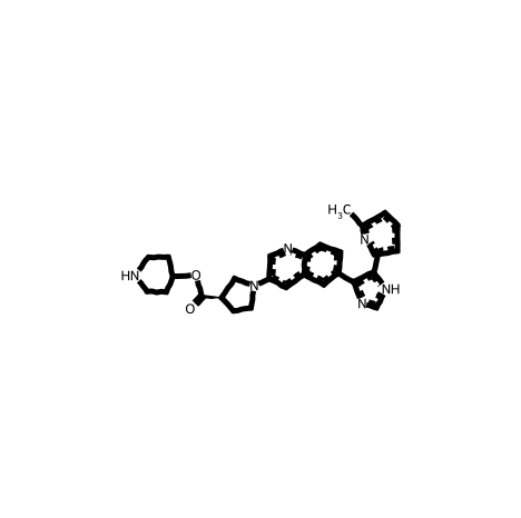 Cc1cccc(-c2[nH]cnc2-c2ccc3ncc(N4CC[C@@H](C(=O)OC5CCNCC5)C4)cc3c2)n1